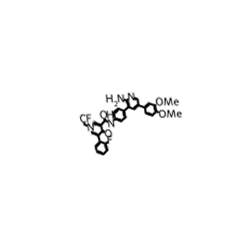 COc1ccc(-c2cnc(N)c(-c3ccc(NC(=O)c4cn(CC(F)(F)F)cc(-c5ccccc5F)c4=O)cc3)c2)cc1OC